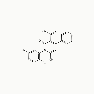 NC(=O)c1c(-c2ccccc2)cc(O)n(-c2cc(Cl)ccc2Cl)c1=O